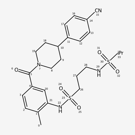 Cc1ccc(C(=O)N2CCC(c3ccc(C#N)cc3)CC2)cc1NS(=O)(=O)CCCNS(=O)(=O)C(C)C